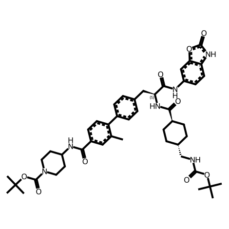 Cc1cc(C(=O)NC2CCN(C(=O)OC(C)(C)C)CC2)ccc1-c1ccc(C[C@H](NC(=O)[C@H]2CC[C@H](CNC(=O)OC(C)(C)C)CC2)C(=O)Nc2ccc3[nH]c(=O)oc3c2)cc1